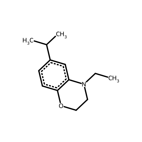 CCN1CCOc2ccc(C(C)C)cc21